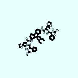 CCCCC1(CCCC)c2cc(NC(=O)[C@@H]3CC4(CN3C(=O)[C@H](NC(=O)OC)c3ccccc3)OCCO4)ccc2-c2ccc(NC(=O)[C@@H]3CC4(CN3C(=O)[C@H](NC(=O)OC)c3ccccc3)OCCO4)cc21